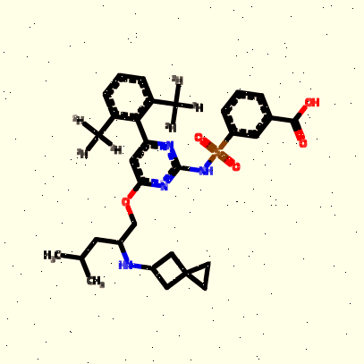 [2H]C([2H])([2H])c1cccc(C([2H])([2H])[2H])c1-c1cc(OCC(CC(C)C)NC2CC3(CC3)C2)nc(NS(=O)(=O)c2cccc(C(=O)O)c2)n1